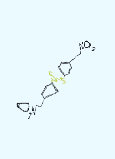 O=[N+]([O-])CCc1ccc(SSc2ccc(CC[N+](=O)[O-])cc2)cc1